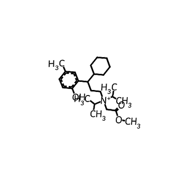 COC(=O)C[N+](CCC(c1cc(C)ccc1O)C1CCCCC1)(C(C)C)C(C)C